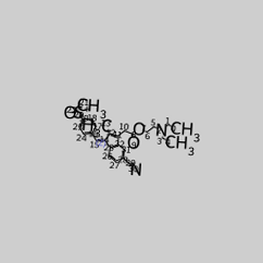 CCN(CC)CCOC(=O)CC1=C(C)/C(=C\c2ccc([S+](C)[O-])cc2)c2ccc(C#N)cc21